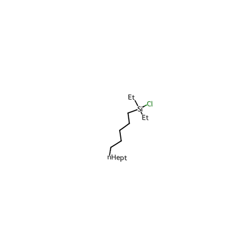 CCCCCCCCCCCC[Si](Cl)(CC)CC